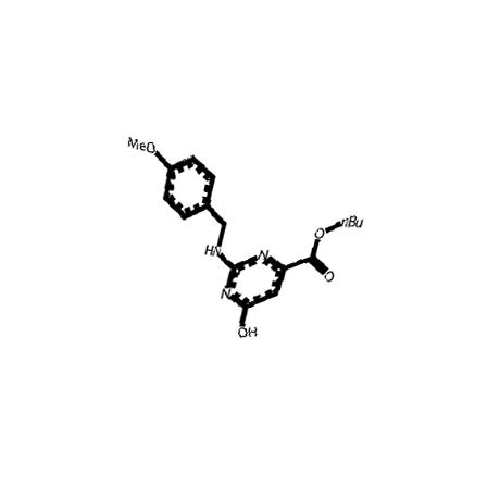 CCCCOC(=O)c1cc(O)nc(NCc2ccc(OC)cc2)n1